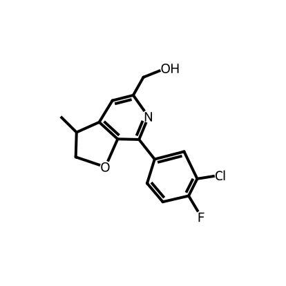 CC1COc2c1cc(CO)nc2-c1ccc(F)c(Cl)c1